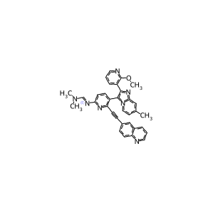 COc1ncccc1-c1nc2cc(C)ccn2c1-c1ccc(/N=C/N(C)C)nc1C#Cc1ccc2ncccc2c1